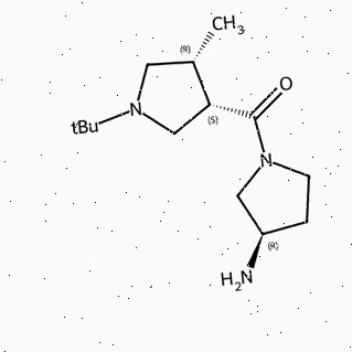 C[C@H]1CN(C(C)(C)C)C[C@H]1C(=O)N1CC[C@@H](N)C1